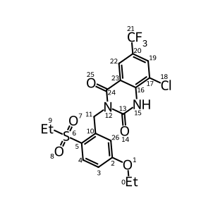 CCOc1ccc(S(=O)(=O)CC)c(Cn2c(=O)[nH]c3c(Cl)cc(C(F)(F)F)cc3c2=O)c1